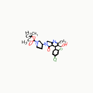 Cc1nc2c(c(-c3ccc(Cl)cc3Cl)c1CO)C(=O)N([C@H]1CCN(C(=O)OC(C)(C)C)C1)C2